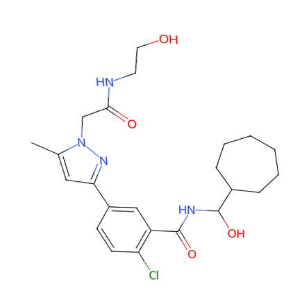 Cc1cc(-c2ccc(Cl)c(C(=O)NC(O)C3CCCCCC3)c2)nn1CC(=O)NCCO